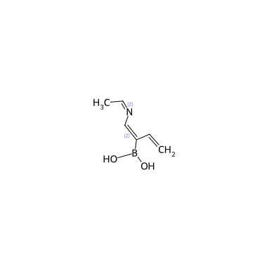 C=C/C(=C\N=C/C)B(O)O